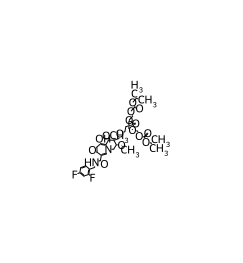 COC1CN2C=C(C(=O)NCc3ccc(F)cc3F)C3OC3C(O)=C2C(=O)C1(C)COCCP(=O)(OCOC(=O)OC(C)C)OCOC(=O)OC(C)C